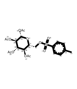 CC(=O)O[C@@H]1O[C@H](COS(=O)(=O)c2ccc(C)cc2)[C@@H](OC(C)=O)[C@H](OC(C)=O)[C@H]1OC(C)=O